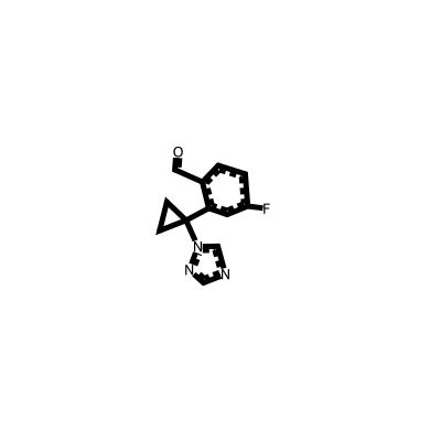 O=Cc1ccc(F)cc1C1(n2cncn2)CC1